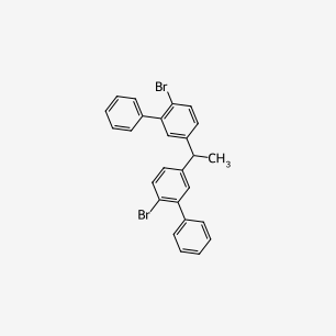 CC(c1ccc(Br)c(-c2ccccc2)c1)c1ccc(Br)c(-c2ccccc2)c1